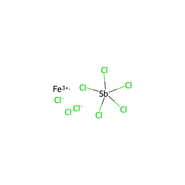 [Cl-].[Cl-].[Cl-].[Cl][Sb]([Cl])([Cl])([Cl])[Cl].[Fe+3]